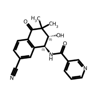 CC1(C)C(=O)c2ccc(C#N)cc2[C@H](NC(=O)c2cccnc2)[C@H]1O